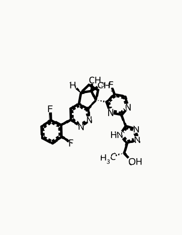 C[C@@H](O)c1nnc(-c2ncc(F)c([C@]34CC[C@@H](c5cc(-c6c(F)cccc6F)nnc53)C4(C)C)n2)[nH]1